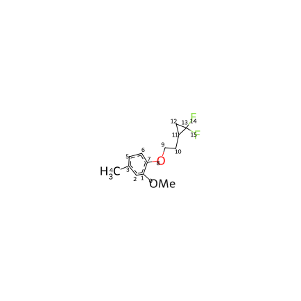 COc1cc(C)ccc1OCCC1CC1(F)F